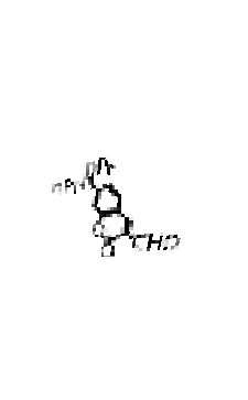 CCCN(CCC)c1ccc2cc(C=O)c(=O)oc2c1